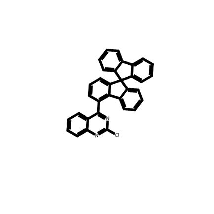 Clc1nc(-c2cccc3c2-c2ccccc2C32c3ccccc3-c3ccccc32)c2ccccc2n1